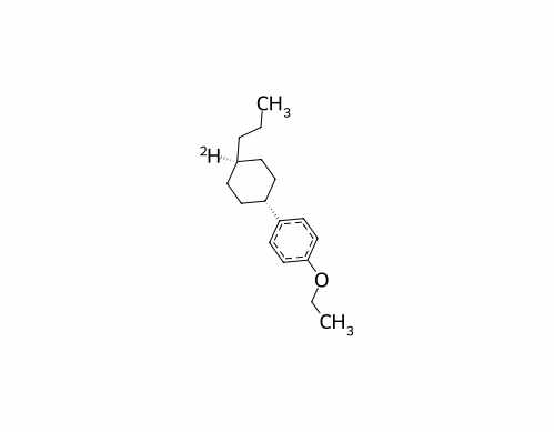 [2H][C@]1(CCC)CC[C@H](c2ccc(OCC)cc2)CC1